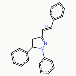 C(=C\c1ccccc1)/C1=NN(c2ccccc2)C(c2ccccc2)C1